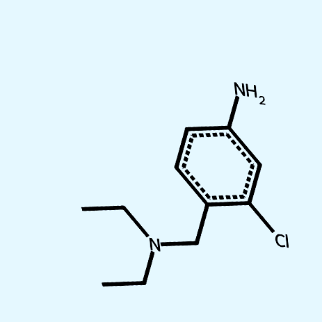 CCN(CC)Cc1ccc(N)cc1Cl